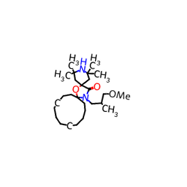 COCC(C)CN1C(=O)C2(CC(C)(C)NC(C)(C)C2)OC12CCCCCCCCCCC2